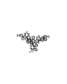 CCN1CCN(C(=O)NC(C(=O)N[C@H]2Cc3cccc(C(=O)O)c3OB2O)c2ccc(CP(=O)(O)O)cc2)C(=O)C1=O